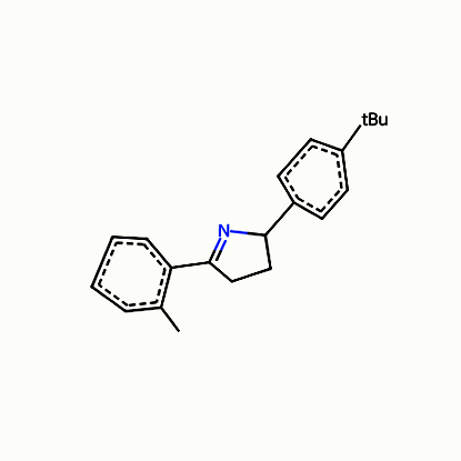 Cc1ccccc1C1=NC(c2ccc(C(C)(C)C)cc2)CC1